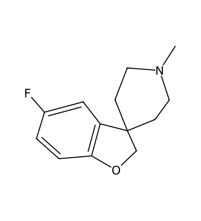 CN1CCC2(CC1)COc1ccc(F)cc12